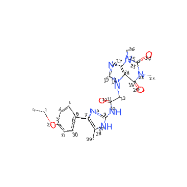 CCOc1ccc(-c2nc(NC(=O)Cn3cnc4c3c(=O)n(C)c(=O)n4C)[nH]c2C)cc1